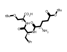 CC(C)C[C@H](NC(=O)[C@@H](N)CCC(=O)OC(C)(C)C)C(=O)N[C@@H](COC(C)(C)C)C(=O)O